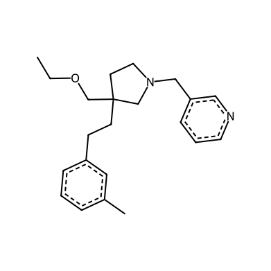 CCOCC1(CCc2cccc(C)c2)CCN(Cc2cccnc2)C1